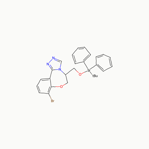 CC(C)(C)[Si](OCC1COc2c(Br)cccc2-c2nncn21)(c1ccccc1)c1ccccc1